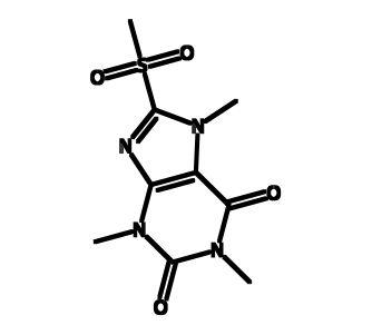 Cn1c(=O)c2c(nc(S(C)(=O)=O)n2C)n(C)c1=O